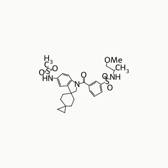 COCC(C)NS(=O)(=O)c1cccc(C(=O)N2CC3(CCC4(CC4)CC3)c3cc(NS(C)(=O)=O)ccc32)c1